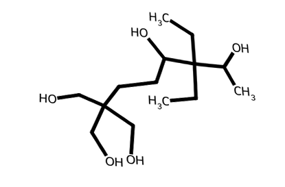 CCC(CC)(C(C)O)C(O)CCC(CO)(CO)CO